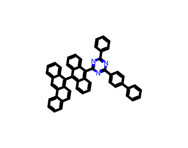 c1ccc(-c2ccc(-c3nc(-c4ccccc4)nc(-c4c5ccccc5c(-c5c6ccccc6cc6c5ccc5ccccc56)c5ccccc45)n3)cc2)cc1